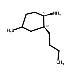 BC1CC[C@@H](N)[C@@H](CCCC)C1